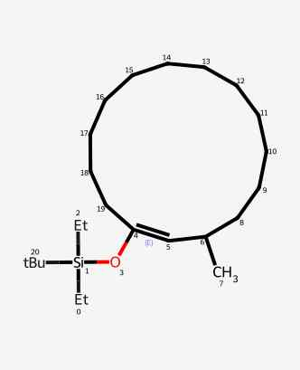 CC[Si](CC)(O/C1=C/C(C)CCCCCCCCCCCC1)C(C)(C)C